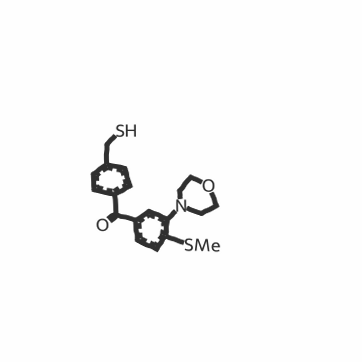 CSc1ccc(C(=O)c2ccc(CS)cc2)cc1N1CCOCC1